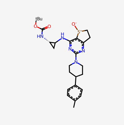 Cc1ccc(C2CCN(c3nc4c(c(NC5C[C@@H]5NC(=O)OC(C)(C)C)n3)[S+]([O-])CC4)CC2)cc1